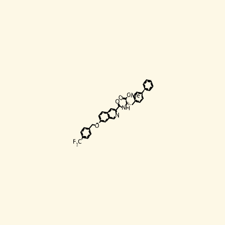 COC(=O)[C@H](Cc1ccc(-c2ccccc2)cc1)NC(=O)c1cc2ccc(OCc3ccc(C(F)(F)F)cc3)cc2cn1